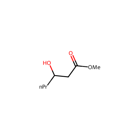 CCCC(O)CC(=O)OC